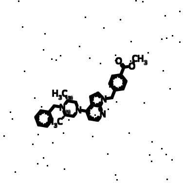 COC(=O)c1ccc(Cn2ccc3c(N4C[C@@H](C)N(Cc5ccccc5)[C@@H](C)C4)ccnc32)cc1